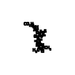 Cc1nc2c3c(nn2c(C)c1Cl)CN(C(=O)c1ccc(F)cc1OCCNCC(=O)O)C3